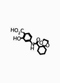 O=C(O)c1ccc(NC(=O)C2CCCCC23OCCO3)cc1O